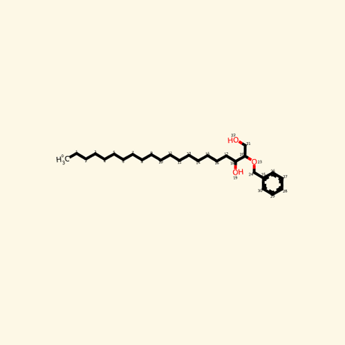 CCCCCCCCCCCCCCCCCCC(O)C(CO)OCc1ccccc1